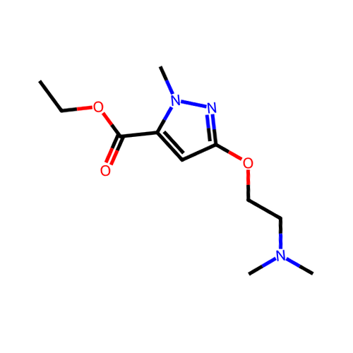 CCOC(=O)c1cc(OCCN(C)C)nn1C